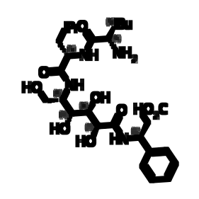 CC[C@H](C)[C@H](N)C(=O)N[C@@H](CC(C)C)C(=O)N[C@@H](CO)[C@@H](O)[C@@H](O)[C@H](O)C(=O)N[C@@H](CC(=O)O)c1ccccc1